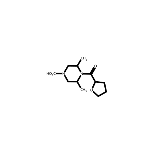 CC1CN(C(=O)O)CC(C)N1C(=O)C1CCCO1